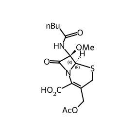 CCCCC(=O)N[C@@]1(OC)C(=O)N2C(C(=O)O)=C(COC(C)=O)CS[C@@H]21